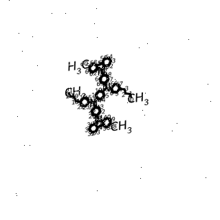 CCCCc1ccc(N(c2ccc(N(c3ccc(CCCC)cc3)c3ccc(-n4c5ccccc5c5cc(C)ccc54)cc3)cc2)c2ccc(-n3c4ccccc4c4cc(C)ccc43)cc2)cc1